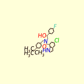 CC(C)(C)c1ccc(CN(CC(O)c2ccc(F)cc2)C(=O)c2cc(Cl)cc3cc[nH]c23)cc1